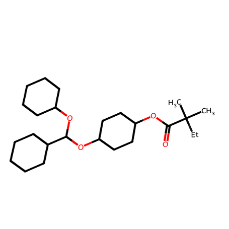 CCC(C)(C)C(=O)OC1CCC(OC(OC2CCCCC2)C2CCCCC2)CC1